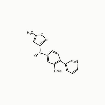 COc1cc([S+]([O-])c2cc(C)on2)ccc1-c1cccnc1